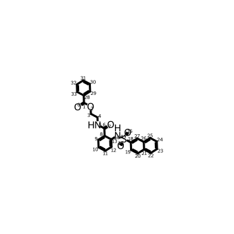 O=C(OCCNC(=O)c1ccccc1NS(=O)(=O)c1ccc2ccccc2c1)c1ccccc1